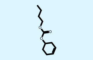 CCCCOC(=O)OC1CC=CCC1